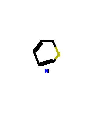 C1=CCSC=C1.[N]